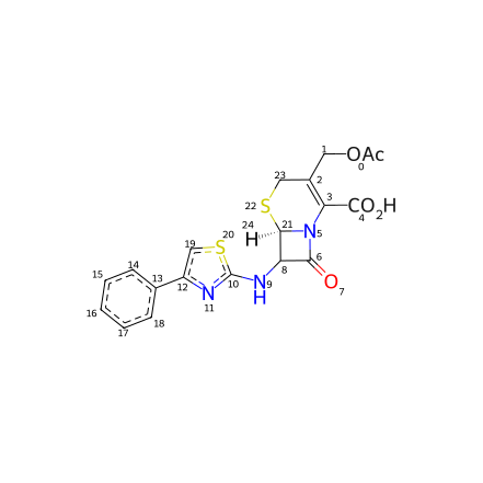 CC(=O)OCC1=C(C(=O)O)N2C(=O)C(Nc3nc(-c4ccccc4)cs3)[C@H]2SC1